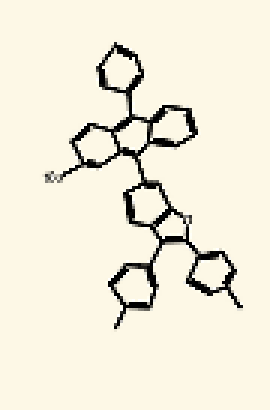 Cc1ccc(-c2oc3cc(-c4c5ccccc5c(-c5ccccc5)c5ccc(C(C)(C)C)cc45)ccc3c2-c2ccc(C)cc2)cc1